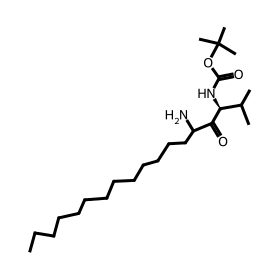 CCCCCCCCCCCCCC(N)C(=O)[C@@H](NC(=O)OC(C)(C)C)C(C)C